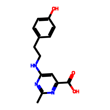 Cc1nc(NCCc2ccc(O)cc2)cc(C(=O)O)n1